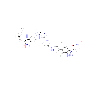 C[C@@H]1CN(c2ncc(Cl)c(Nc3ccc4c(c3)c3c(c(=O)n4C)OCC(F)(F)[C@H](C4CC4)N3)n2)CC[C@@H]1CN1CCC(c2c(F)cc3c(C4CCC(=O)NC4=O)nn(C)c3c2F)CC1